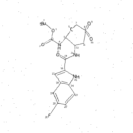 CC(C)(C)OC(=O)NC1CCS(=O)(=O)CC1NC(=O)c1cc2cc(F)ccc2[nH]1